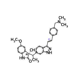 COc1ccc2c(c1)[C@@](C)(C(C)c1ccc3c(/C=C/c4ccc(CN(C)C)cc4)n[nH]c3c1)C(=O)N2